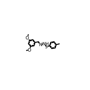 COc1cc(C=NNSc2ccc(C)cc2)cc(OC)c1